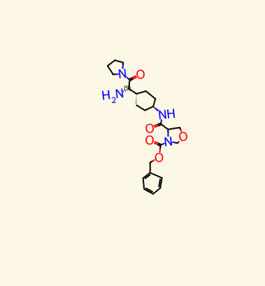 N[C@H](C(=O)N1CCCC1)[C@H]1CC[C@H](NC(=O)C2COCN2C(=O)OCc2ccccc2)CC1